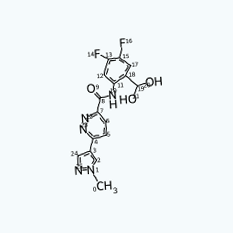 Cn1cc(-c2ccc(C(=O)Nc3cc(F)c(F)cc3C(O)O)nn2)cn1